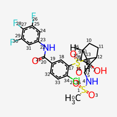 CS(=O)(=O)NC[C@]1(O)C[C@@H]2CCC1[C@@H]2S(=O)(=O)c1cc(C(=O)Nc2cc(F)c(F)c(F)c2)ccc1Cl